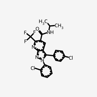 CC(C)NC(=O)c1cc2c(-c3ccc(Cl)cc3)n(-c3ccccc3Cl)nc2nc1C(F)(F)F